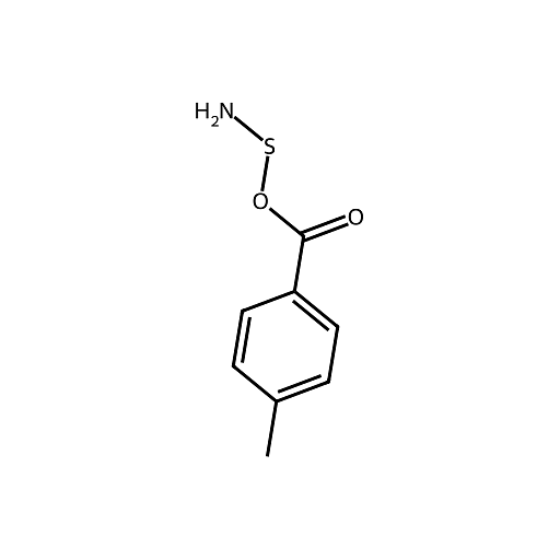 Cc1ccc(C(=O)OSN)cc1